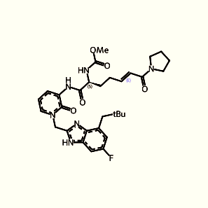 COC(=O)N[C@@H](CC/C=C/C(=O)N1CCCC1)C(=O)Nc1cccn(Cc2nc3c(CC(C)(C)C)cc(F)cc3[nH]2)c1=O